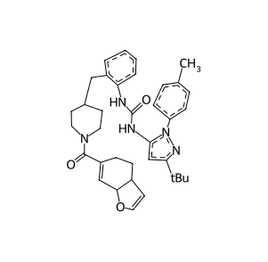 Cc1ccc(-n2nc(C(C)(C)C)cc2NC(=O)Nc2ccccc2CC2CCN(C(=O)C3=CC4OC=CC4CC3)CC2)cc1